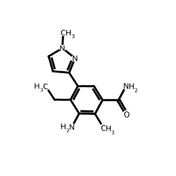 CCc1c(-c2ccn(C)n2)cc(C(N)=O)c(C)c1N